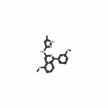 COc1cccc(-c2nc(Nc3cc(C)[nH]n3)cc3c(OC)cccc23)c1